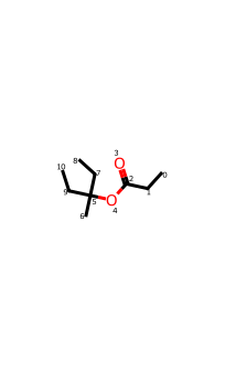 CCC(=O)OC(C)(CC)CC